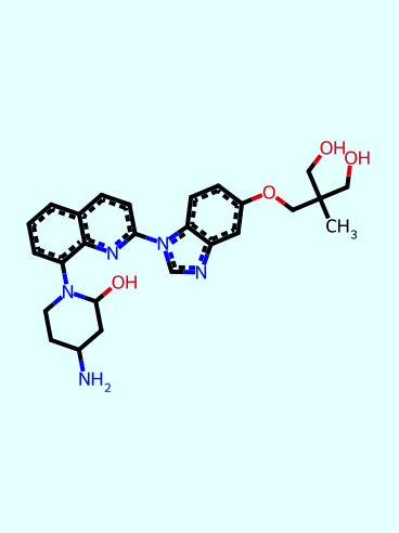 CC(CO)(CO)COc1ccc2c(c1)ncn2-c1ccc2cccc(N3CCC(N)CC3O)c2n1